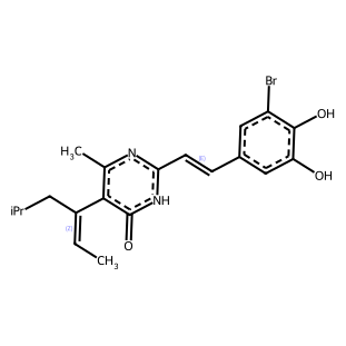 C/C=C(/CC(C)C)c1c(C)nc(/C=C/c2cc(O)c(O)c(Br)c2)[nH]c1=O